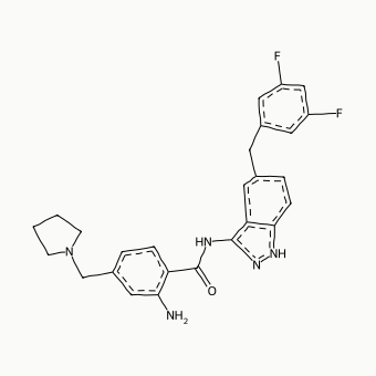 Nc1cc(CN2CCCC2)ccc1C(=O)Nc1n[nH]c2ccc(Cc3cc(F)cc(F)c3)cc12